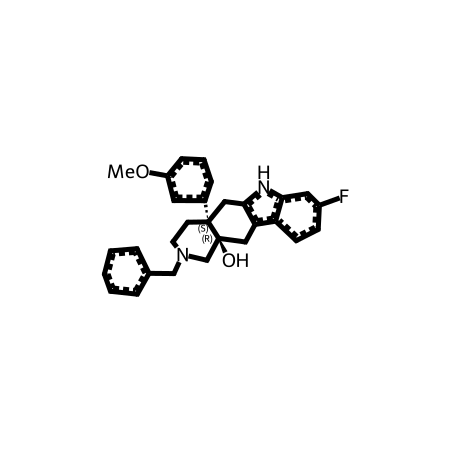 COc1cccc([C@@]23CCN(Cc4ccccc4)C[C@@]2(O)Cc2c([nH]c4cc(F)ccc24)C3)c1